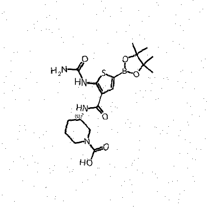 CC1(C)OB(c2cc(C(=O)N[C@H]3CCCN(C(=O)O)C3)c(NC(N)=O)s2)OC1(C)C